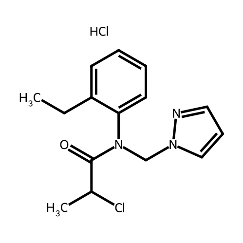 CCc1ccccc1N(Cn1cccn1)C(=O)C(C)Cl.Cl